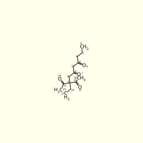 CCCC(=O)CC(=O)CC(CC)(C(C)=O)C(C)=O